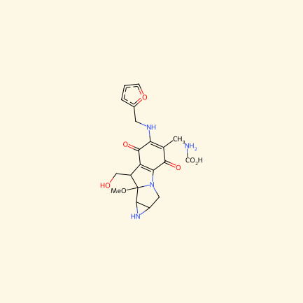 COC12C(CO)C3=C(C(=O)C(C)=C(NCc4ccco4)C3=O)N1CC1NC12.NC(=O)O